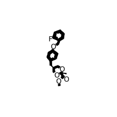 COC(=O)[C@]1(C)OC[C@@H](Cc2ccc(OCc3ccccc3F)cc2)CO1